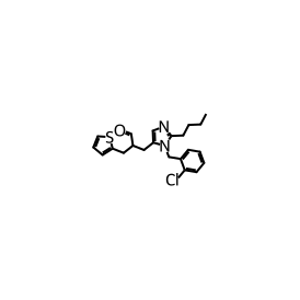 CCCCc1ncc(CC(C=O)Cc2cccs2)n1Cc1ccccc1Cl